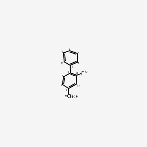 O=[C]c1ccc(-c2ccccc2)c(F)c1